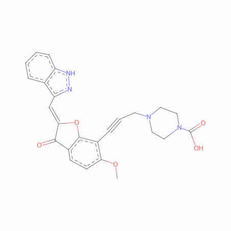 COc1ccc2c(c1C#CCN1CCN(C(=O)O)CC1)OC(=Cc1n[nH]c3ccccc13)C2=O